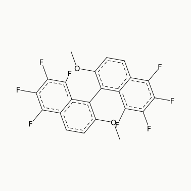 COc1ccc2c(F)c(F)c(F)c(F)c2c1-c1c(OC)ccc2c(F)c(F)c(F)c(F)c12